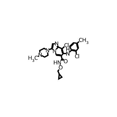 Cc1ccc(Nc2c(C(=O)NOCC3CC3)cn3c(N4CCN(C)CC4)cnc3c2Cl)c(Cl)c1